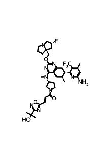 Cc1cc(N)nc([C@H]2Cc3nc(OC[C@@]45CCCN4C[C@H](F)C5)nc(N(C)[C@@H]4CCN(C(=O)/C=C/c5nc(C(C)(C)O)no5)C4)c3C[C@@H]2C)c1C(F)(F)F